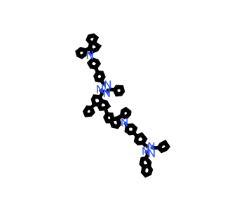 c1ccc(-c2nc(-c3ccc(-c4ccc(-n5c6ccccc6c6c7cc(-c8ccc9c(-c%10nc(-c%11ccccc%11)nc(-c%11ccc(-c%12ccc(-n%13c%14ccccc%14c%14c%15ccccc%15ccc%14%13)cc%12)cc%11)n%10)ccc(-c%10ccccc%10)c9c8)ccc7ccc65)cc4)cc3)nc(-c3ccc4ccccc4c3)n2)cc1